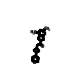 Cc1cc(C)c2c(n1)CN(C(=O)CC1CN(c3ccnnc3)C1)C2